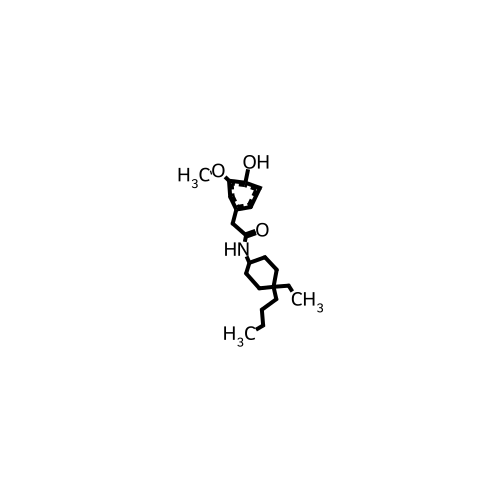 CCCCC1(CC)CCC(NC(=O)Cc2ccc(O)c(OC)c2)CC1